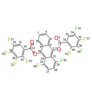 O=C(Oc1c2ccccc2c(OC(=O)c2cc(F)c(F)c(F)c2F)c2c(F)ccc(F)c12)c1cc(F)c(F)c(F)c1F